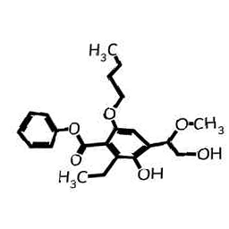 CCCCOc1cc(C(CO)OC)c(O)c(CC)c1C(=O)Oc1ccccc1